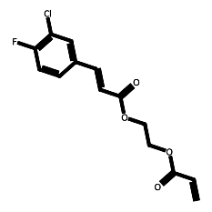 C=CC(=O)OCCOC(=O)/C=C/c1ccc(F)c(Cl)c1